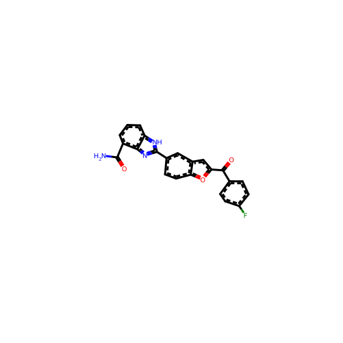 NC(=O)c1cccc2[nH]c(-c3ccc4oc(C(=O)c5ccc(F)cc5)cc4c3)nc12